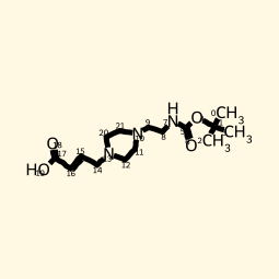 CC(C)(C)OC(=O)NCCN1CCN(CC=CC(=O)O)CC1